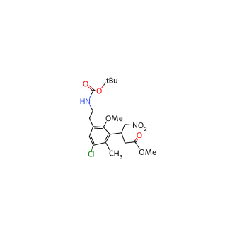 COC(=O)CC(C[N+](=O)[O-])c1c(C)c(Cl)cc(CCNC(=O)OC(C)(C)C)c1OC